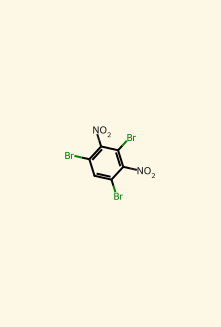 O=[N+]([O-])c1c(Br)cc(Br)c([N+](=O)[O-])c1Br